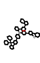 c1ccc(C2(c3ccccc3)c3ccccc3-c3ccc(-c4ccc(N(c5ccc(-c6ccc7c(c6)oc6ccccc67)cc5)c5ccccc5-c5cccc(-c6cccc7ccccc67)c5)cc4)cc32)cc1